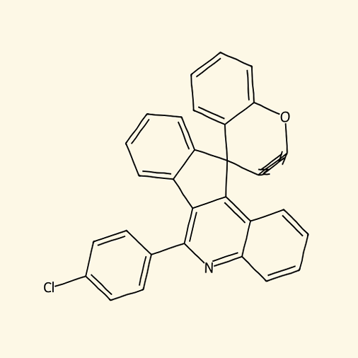 Clc1ccc(-c2nc3ccccc3c3c2-c2ccccc2C32c3ccccc3Oc3ccccc32)cc1